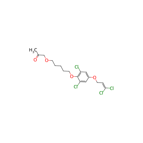 CC(=O)COCCCCCOc1c(Cl)cc(OCC=C(Cl)Cl)cc1Cl